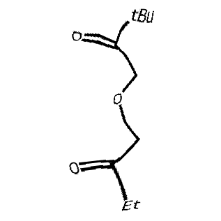 CCC(=O)COCC(=O)C(C)(C)C